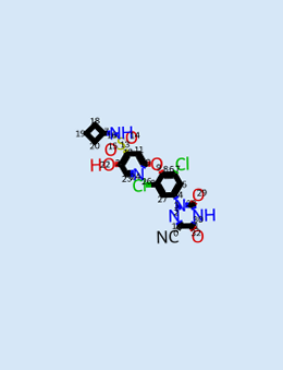 N#Cc1nn(-c2cc(Cl)c(Oc3cc(S(=O)(=O)NC4CCC4)c(O)cn3)c(Cl)c2)c(=O)[nH]c1=O